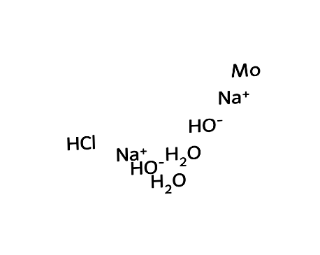 Cl.O.O.[Mo].[Na+].[Na+].[OH-].[OH-]